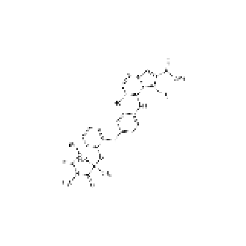 COC(=O)c1cn2ncc(C#N)c(Nc3ccc(Oc4ccccc4OC(C)(C)C(=O)N(C)C(=O)OC(C)(C)C)cc3)c2c1C